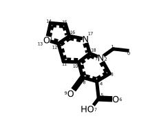 CCn1cc(C(=O)O)c(=O)c2cc3occc3nc21